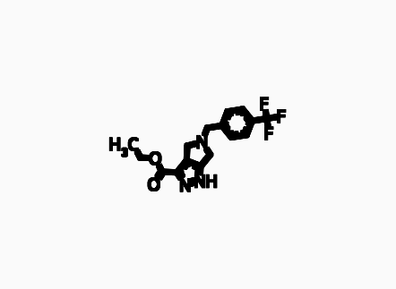 CCOC(=O)c1n[nH]c2c1CN(Cc1ccc(C(F)(F)F)cc1)C2